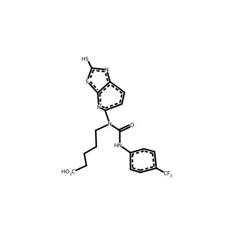 O=C(O)CCCCN(C(=O)Nc1ccc(C(F)(F)F)cc1)c1ccc2nc(S)sc2n1